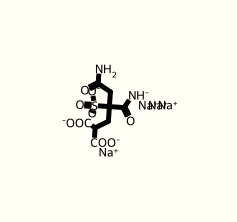 [NH-]C(=O)C(CC(N)=O)(CC(C(=O)[O-])C(=O)[O-])S(=O)(=O)[O-].[Na+].[Na+].[Na+].[Na+]